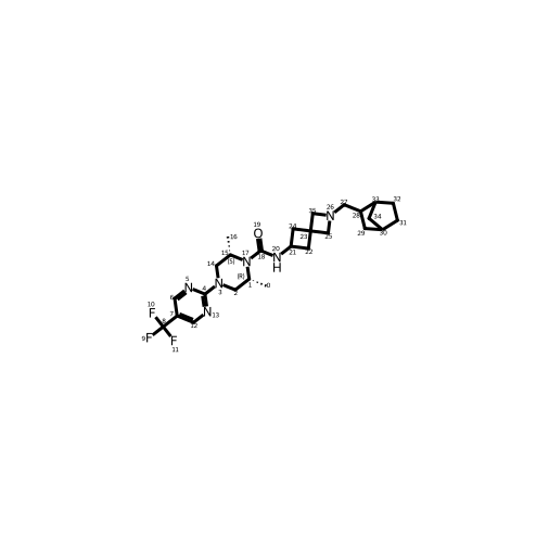 C[C@@H]1CN(c2ncc(C(F)(F)F)cn2)C[C@H](C)N1C(=O)NC1CC2(C1)CN(CC1CC3CCC1C3)C2